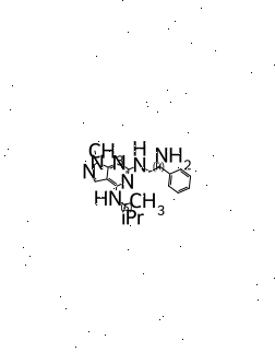 CC(C)[C@H](C)Nc1nc(NC[C@H](N)c2ccccc2)nc2c1cnn2C